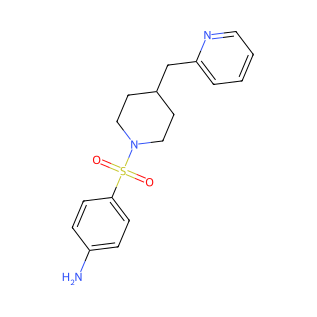 Nc1ccc(S(=O)(=O)N2CCC(Cc3ccccn3)CC2)cc1